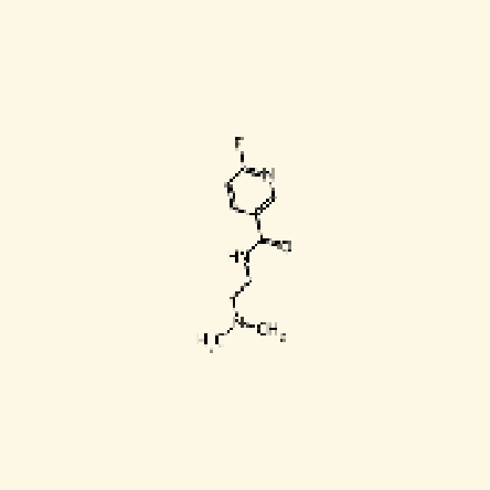 CN(C)CCNC(=O)c1ccc(F)nc1